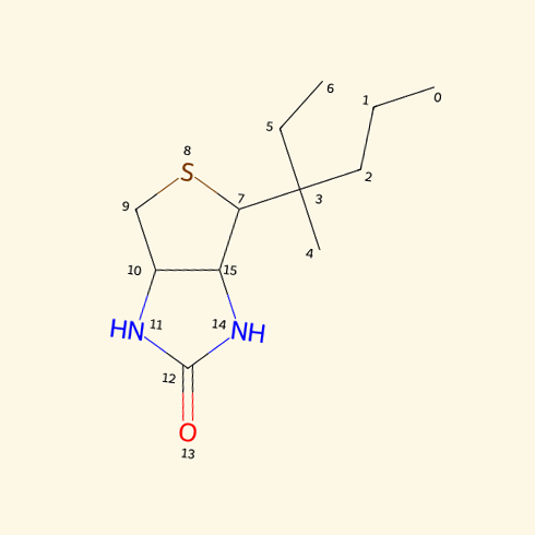 CCCC(C)(CC)C1SCC2NC(=O)NC21